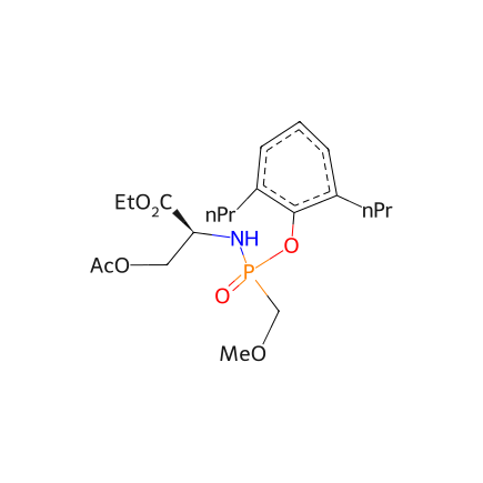 CCCc1cccc(CCC)c1OP(=O)(COC)N[C@@H](COC(C)=O)C(=O)OCC